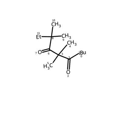 CCC(C)C(=O)C(C)(C)C(=O)C(C)(C)CC